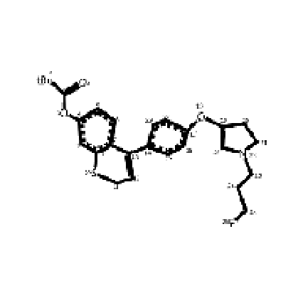 CC(C)(C)C(=O)Oc1ccc2c(c1)SCC=C2c1ccc(OC2CCN(CCCF)C2)cc1